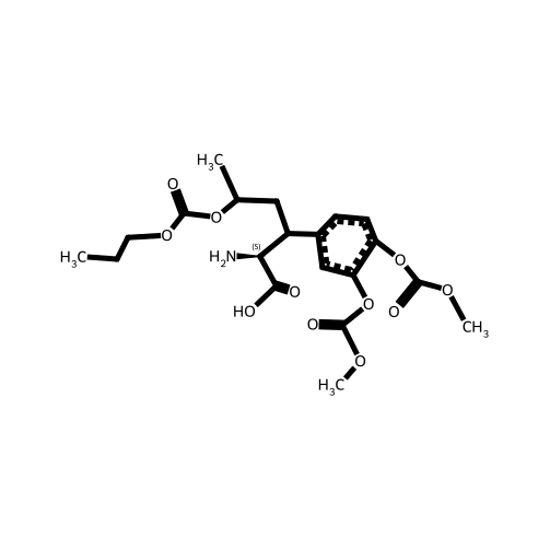 CCCOC(=O)OC(C)CC(c1ccc(OC(=O)OC)c(OC(=O)OC)c1)[C@H](N)C(=O)O